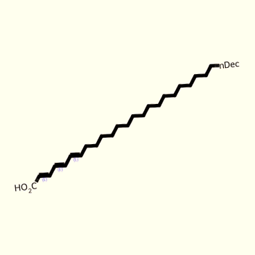 CCCCCCCCCCCCCCCCCCCCCCCCCCC/C=C/C=C/C=C/C(=O)O